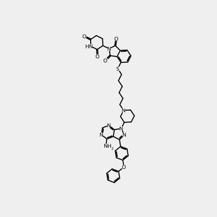 Nc1ncnc2c1c(-c1ccc(Oc3ccccc3)cc1)nn2C1CCCN(CCCCCCSc2cccc3c2C(=O)N(C2CCC(=O)NC2=O)C3=O)C1